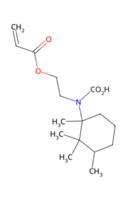 C=CC(=O)OCCN(C(=O)O)C1(C)CCCC(C)C1(C)C